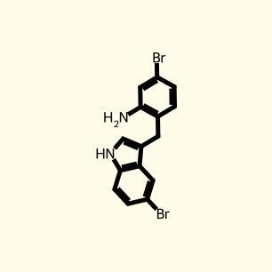 Nc1cc(Br)ccc1Cc1c[nH]c2ccc(Br)cc12